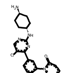 N[C@H]1CC[C@H](Nc2ncc(Cl)c(-c3cccc(-n4ccccc4=O)c3)n2)CC1